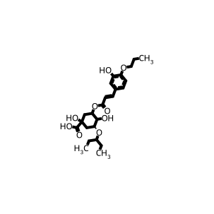 CCCOc1ccc(/C=C/C(=O)OC2CC(O)(C(=O)O)C[C@@H](OC(CC)CC)C2O)cc1O